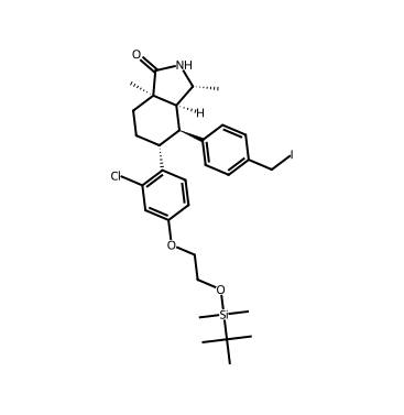 C[C@H]1NC(=O)[C@]2(C)CC[C@@H](c3ccc(OCCO[Si](C)(C)C(C)(C)C)cc3Cl)[C@H](c3ccc(CI)cc3)[C@H]12